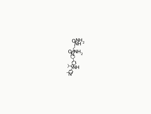 Cc1cc(-c2[nH]c3ccc(C4CCN(C(=O)[C@@H](N)CCCNC(N)=O)CC4)cc3c2C(C)C)ccn1